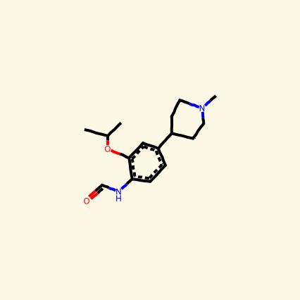 CC(C)Oc1cc(C2[CH]CN(C)CC2)ccc1NC=O